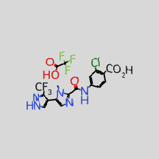 Cn1c(-c2c[nH]nc2C(F)(F)F)cnc1C(=O)Nc1ccc(C(=O)O)c(Cl)c1.O=C(O)C(F)(F)F